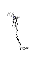 CCCCCCCCCCCCC#CC#CCCCCCCCCC(=O)Oc1ccc(/C=N/C)c(O)c1